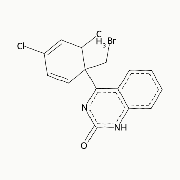 CC1C=C(Cl)C=CC1(CBr)c1nc(=O)[nH]c2ccccc12